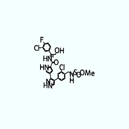 COOSNCc1ccc(-c2c[nH]nc2-c2c[nH]c(C(=O)N[C@H](CO)c3ccc(F)c(Cl)c3)c2)cc1Cl